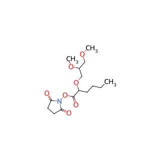 CCCCC(OCC(COC)OC)C(=O)ON1C(=O)CCC1=O